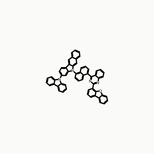 c1ccc2cc3c(cc2c1)c1ccc(-n2c4ccccc4c4ccccc42)cc1n3-c1cccc2c(-c3nc(-c4cccc5c4oc4ccccc45)nc4ccccc34)cccc12